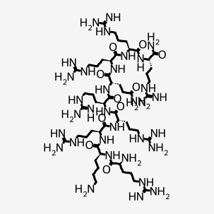 N=C(N)NCCC[C@H](NC(=O)[C@H](CCCNC(=N)N)NC(=O)[C@H](CCCNC(=N)N)NC(=O)[C@H](CCC(N)=O)NC(=O)[C@H](CCCNC(=N)N)NC(=O)[C@H](CCCNC(=N)N)NC(=O)[C@H](CCCNC(=N)N)NC(=O)[C@H](CCCCN)NC(=O)[C@@H](N)CCCNC(=N)N)C(N)=O